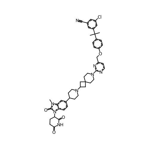 Cn1c(=O)n(C2CCC(=O)NC2=O)c2ccc(C3CCN(C4CC5(CCN(c6nccc(COc7ccc(C(C)(C)c8cc(Cl)cc(C#N)c8)cc7)n6)CC5)C4)CC3)cc21